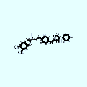 Clc1cc2nc(NCCc3ccc(/N=C4/N[C@@H](c5ccccc5)CS4)cc3)sc2cc1Cl